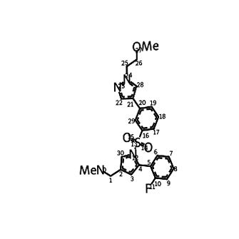 CNCc1cc(-c2ccccc2F)n(S(=O)(=O)c2cccc(-c3cnn(CCOC)c3)c2)c1